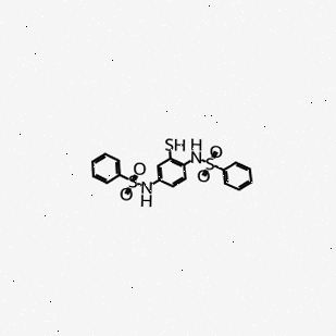 O=S(=O)(Nc1ccc(NS(=O)(=O)c2ccccc2)c(S)c1)c1ccccc1